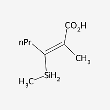 CCC/C([SiH2]C)=C(/C)C(=O)O